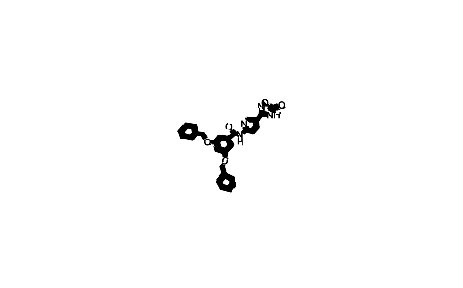 O=C(Nc1ccc(-c2noc(=O)[nH]2)cn1)c1cc(OCc2ccccc2)cc(OCc2ccccc2)c1